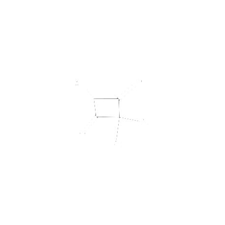 CC(=O)C1C(=O)C(C(C)=O)(C(C)=O)C1=O